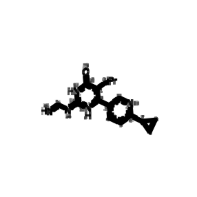 CC(C)c1c(-c2ccc(C3CC3)nc2)[nH]/c(=N/C=N)[nH]c1=O